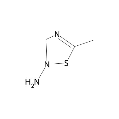 CC1=NCN(N)S1